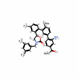 COC(=O)c1ccc(-c2ccc(OC)c(-c3ccc(C(F)(F)F)cc3C3OC(=O)N(Cc4cc(C(F)(F)F)cc(C(F)(F)F)c4)[C@@H]3C)c2)c(N)c1